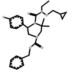 CCN(OCC1CC1)C(=O)N1C(c2ccc(F)cc2)CN(C(=O)OCc2ccccc2)CC1(C)C